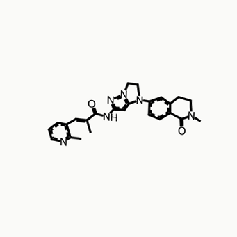 C/C(=C\c1cccnc1C)C(=O)Nc1cc2n(n1)CCN2c1ccc2c(c1)CCN(C)C2=O